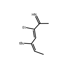 C/C=C(\C=C(/CC)C(C)=N)C(C)(C)C